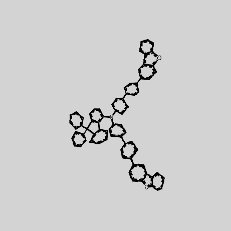 c1ccc(C2(c3ccccc3)c3ccccc3-c3c(N(c4ccc(-c5ccc(-c6ccc7oc8ccccc8c7c6)cc5)cc4)c4ccc(-c5ccc(-c6ccc7oc8ccccc8c7c6)cc5)cc4)cccc32)cc1